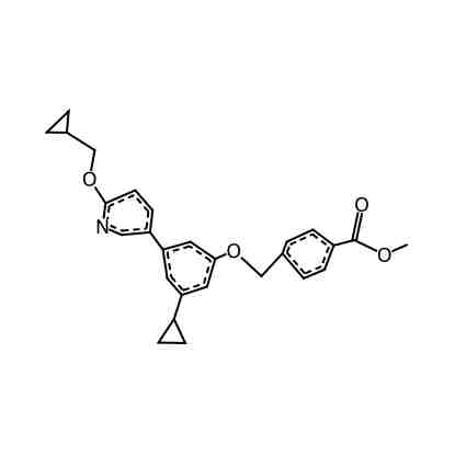 COC(=O)c1ccc(COc2cc(-c3ccc(OCC4CC4)nc3)cc(C3CC3)c2)cc1